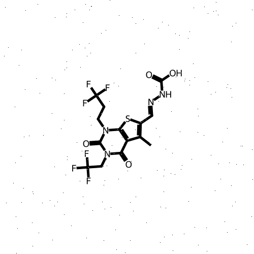 Cc1c(C=NNC(=O)O)sc2c1c(=O)n(CC(F)(F)F)c(=O)n2CCC(F)(F)F